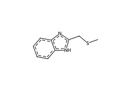 CSCc1nc2ccccc2[nH]1